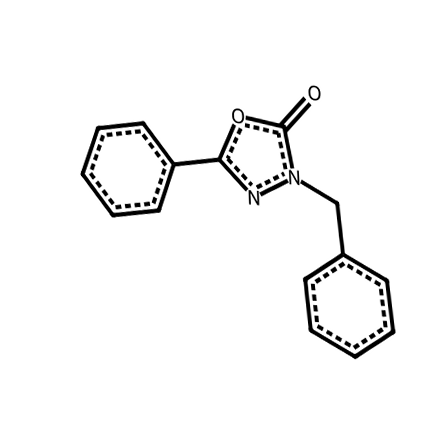 O=c1oc(-c2ccccc2)nn1Cc1ccccc1